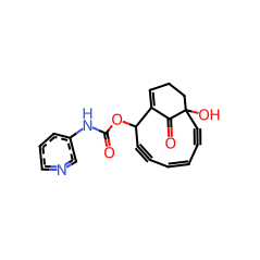 O=C(Nc1cccnc1)OC1C#CC=CC#CC2(O)CCC=C1C2=O